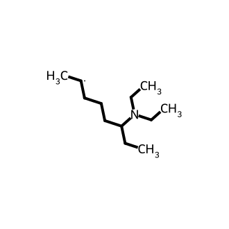 C[CH]CCCC(CC)N(CC)CC